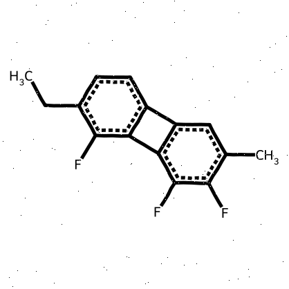 CCc1ccc2c(c1F)-c1c-2cc(C)c(F)c1F